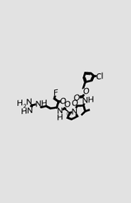 CC(C)C(NC(=O)OCc1cccc(Cl)c1)C(=O)N1CCC[C@H]1C(=O)NC(CCCNC(=N)N)C(=O)CF